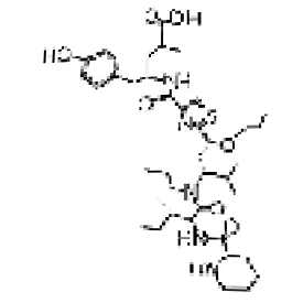 CCCO[C@H](C[C@H](C(C)C)N(CCC)C(=O)[C@@H](NC(=O)[C@H]1CCCCN1)[C@@H](C)CC)c1nc(C(=O)N[C@@H](Cc2ccc(O)cc2)C[C@H](C)C(=O)O)cs1